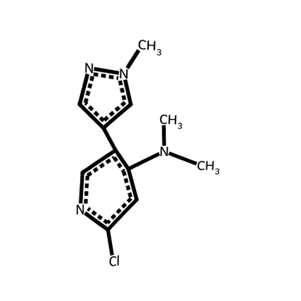 CN(C)c1cc(Cl)ncc1-c1cnn(C)c1